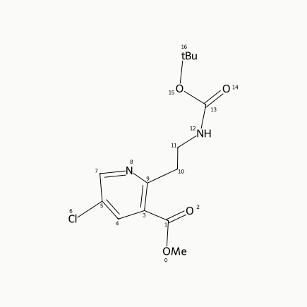 COC(=O)c1cc(Cl)cnc1CCNC(=O)OC(C)(C)C